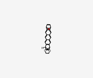 C1=CC2c3cc4cc5cc6c(cc5cc4cc3C1C21OCCO1)C1C=C[C@H]6C12OCCO2